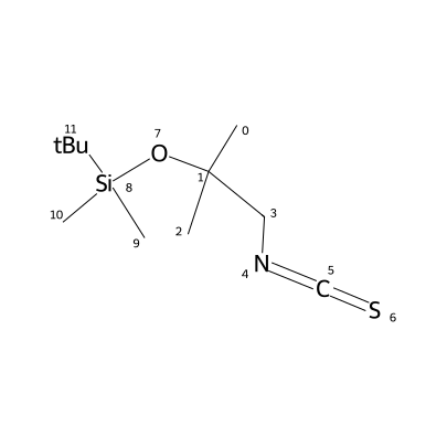 CC(C)(CN=C=S)O[Si](C)(C)C(C)(C)C